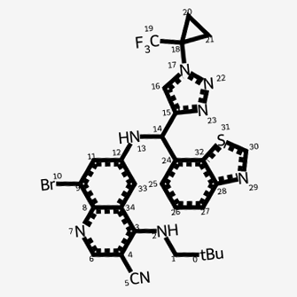 CC(C)(C)CNc1c(C#N)cnc2c(Br)cc(NC(c3cn(C4(C(F)(F)F)CC4)nn3)c3cccc4ncsc34)cc12